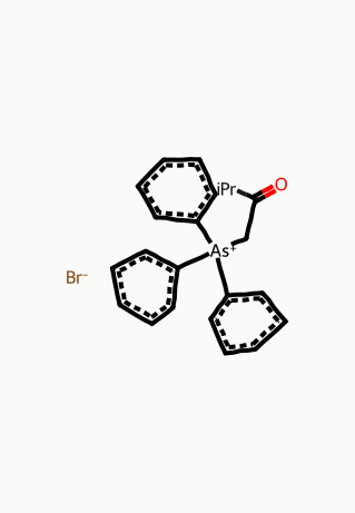 CC(C)C(=O)C[As+](c1ccccc1)(c1ccccc1)c1ccccc1.[Br-]